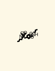 CCCCNS(=O)(=O)c1ccc(Cn2c(CCCC)nc(Cl)c2C=O)cc1